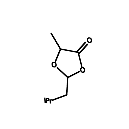 CC(C)CC1OC(=O)C(C)O1